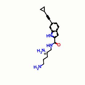 NCCC[C@H](N)CNC(=O)c1cc2ccc(C#CC3CC3)cc2[nH]1